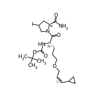 CC(C)(C)OC(=O)N[C@@H](CCCOC/C=C\C1CC1)C(=O)N1CC(I)C[C@H]1C(N)=O